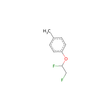 Cc1ccc(OC(F)CF)cc1